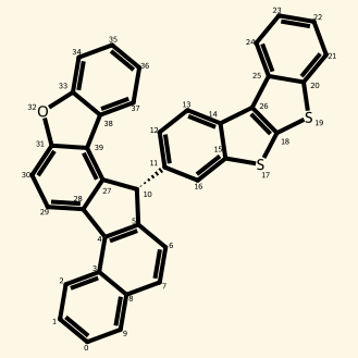 c1ccc2c3c(ccc2c1)[C@@H](c1ccc2c(c1)sc1sc4ccccc4c12)c1c-3ccc2oc3ccccc3c12